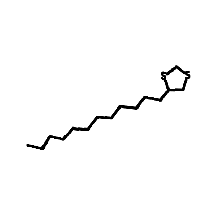 CCCCCCCCCCCCC1CSCS1